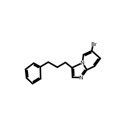 Brc1ccc2ncc(CCCc3ccccc3)n2c1